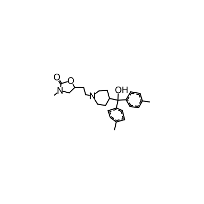 Cc1ccc(C(O)(c2ccc(C)cc2)C2CCN(CCC3CN(C)C(=O)O3)CC2)cc1